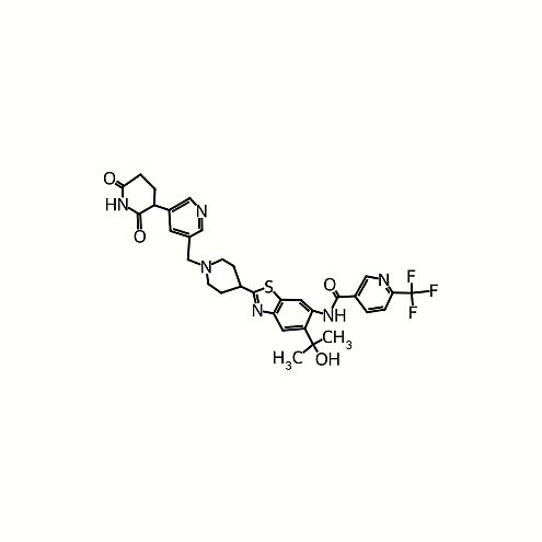 CC(C)(O)c1cc2nc(C3CCN(Cc4cncc(C5CCC(=O)NC5=O)c4)CC3)sc2cc1NC(=O)c1ccc(C(F)(F)F)nc1